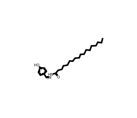 CCCCCCCCCCCCCCCCCC(=O)N/N=C\c1ccc(O)cc1